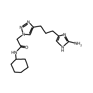 Nc1nc(CCCc2cn(CC(=O)NC3CCCCC3)nn2)c[nH]1